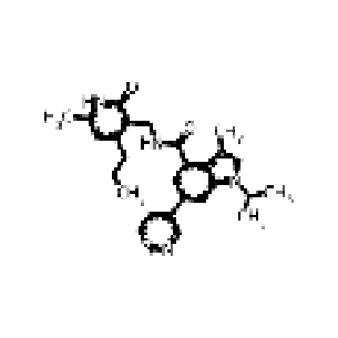 CCCc1cc(C)[nH]c(=O)c1CNC(=O)c1cc(-c2ccnnc2)cc2c1c(C)cn2C(C)C